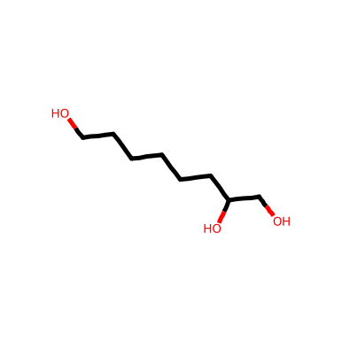 OCCCCCCC(O)CO